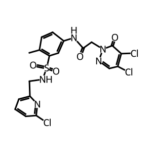 Cc1ccc(NC(=O)Cn2ncc(Cl)c(Cl)c2=O)cc1S(=O)(=O)NCc1cccc(Cl)n1